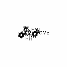 COc1n[nH]c2cc(NC(=O)N[C@H](c3ccccc3)[C@@H]3CCCO3)ncc12